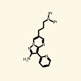 CC(C)N(CCCc1cnc2c(-c3ccccn3)c(N)nn2c1)C(C)C